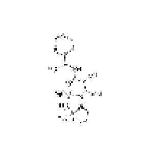 CCCC[C@@H](C(O)C(=O)NC(C)c1ccccc1)N(C(=O)O)N1CCCC1(C)C